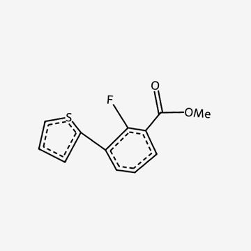 COC(=O)c1cccc(-c2cccs2)c1F